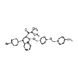 Cc1ccc(COc2ccc(COc3c(C(=O)N(C)C)cc(-c4ccc(Br)cc4)c4ccccc34)cc2)cc1